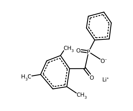 Cc1cc(C)c(C(=O)P(=O)([O-])c2ccccc2)c(C)c1.[Li+]